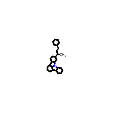 C/C(=C\Cc1ccccc1)c1ccc2c3cccc4c5ccccc5n(c2c1)c43